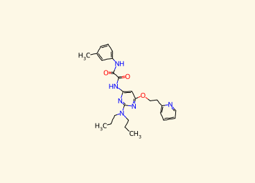 CCCN(CCC)c1nc(NC(=O)C(=O)Nc2cccc(C)c2)cc(OCCc2ccccn2)n1